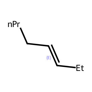 [CH]C/C=C/CCCC